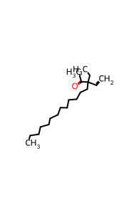 C=CC(CC)(CCCCCCCCCCCCC)C(C)=O